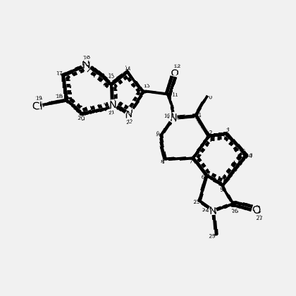 CC1c2ccc3c(c2CCN1C(=O)c1cc2ncc(Cl)cn2n1)CN(C)C3=O